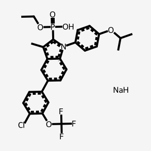 CCOP(=O)(O)c1c(C)c2cc(-c3ccc(Cl)c(OC(F)(F)F)c3)ccc2n1-c1ccc(OC(C)C)cc1.[NaH]